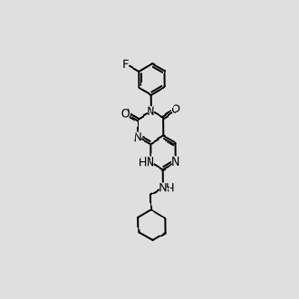 O=c1nc2[nH]c(NCC3CCCCC3)ncc-2c(=O)n1-c1cccc(F)c1